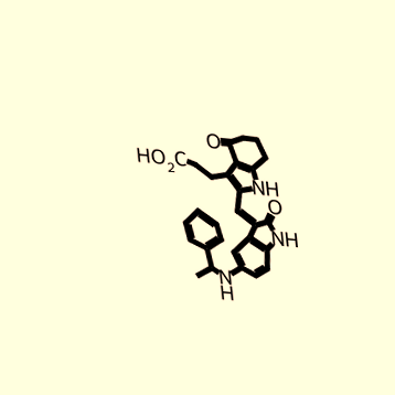 CC(Nc1ccc2c(c1)C(=Cc1[nH]c3c(c1CCC(=O)O)C(=O)CCC3)C(=O)N2)c1ccccc1